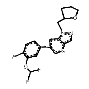 Fc1ccc(-c2cnc3cnn(CC4CCCO4)c3c2)cc1OC(F)F